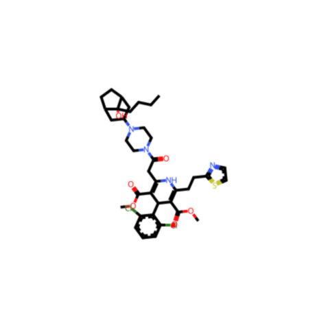 CCCCC1(O)C2CCC1CC(N1CCN(C(=O)CC3=C(C(=O)OC)C(c4c(Cl)cccc4Cl)C(C(=O)OC)=C(CCc4nccs4)N3)CC1)C2